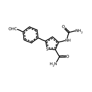 NC(=O)Nc1cc(-c2ccc(C=O)cc2)sc1C(N)=O